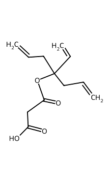 C=CCC(C=C)(CC=C)OC(=O)CC(=O)O